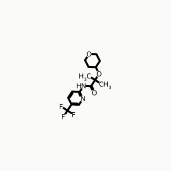 CC(C)(OC1CCOCC1)C(=O)Nc1ccc(C(F)(F)F)cn1